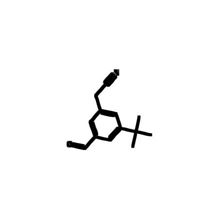 CC(C)(C)c1cc(C=O)cc(CC#N)c1